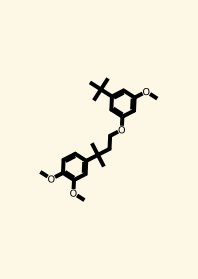 COc1cc(OCCC(C)(C)c2ccc(OC)c(OC)c2)cc(C(C)(C)C)c1